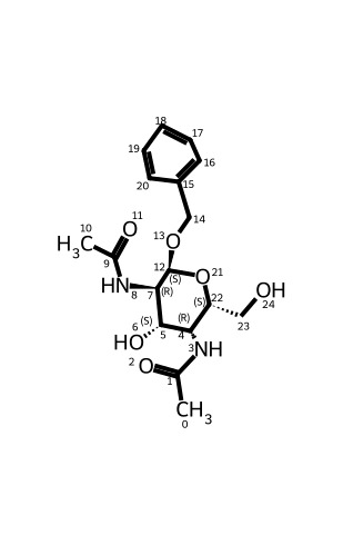 CC(=O)N[C@@H]1[C@H](O)[C@@H](NC(C)=O)[C@@H](OCc2ccccc2)O[C@@H]1CO